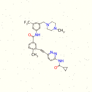 Cc1ccc(C(=O)Nc2cc(CN3CCN(C)CC3)cc(C(F)(F)F)c2)cc1C#Cc1ccc(NC(=O)C2CC2)nn1